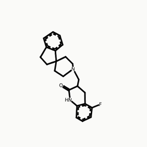 O=C1Nc2cccc(F)c2CC1CN1CCC2(CCc3ccccc32)CC1